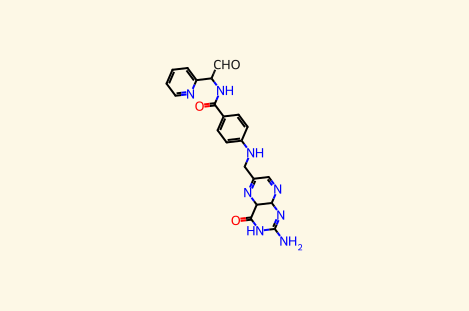 NC1=NC2N=CC(CNc3ccc(C(=O)NC(C=O)c4ccccn4)cc3)=NC2C(=O)N1